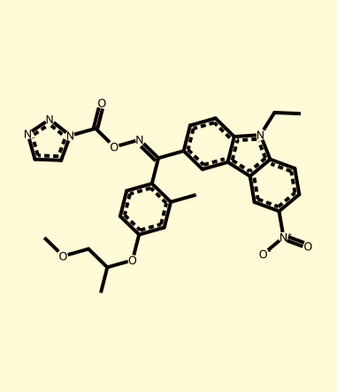 CCn1c2ccc(/C(=N/OC(=O)n3ccnn3)c3ccc(OC(C)COC)cc3C)cc2c2cc([N+](=O)[O-])ccc21